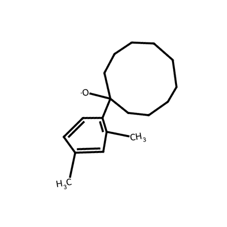 Cc1ccc(C2([O])CCCCCCCCC2)c(C)c1